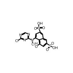 O=S(=O)(O)c1cc(O)c2c(N(Cl)c3ncnc(Cl)n3)cc(S(=O)(=O)O)cc2c1